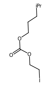 CC(C)CCCOC(=O)OCCI